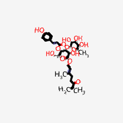 C=C(C)C(=O)CC/C(C)=C/CO[C@@H]1O[C@H](CO)[C@@H](OC(=O)/C=C/c2ccc(O)cc2)[C@H](O[C@@H]2O[C@@H](C)[C@H](O)[C@@H](O)[C@H]2O)[C@H]1O